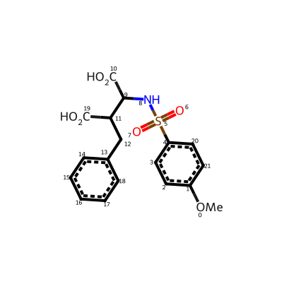 COc1ccc(S(=O)(=O)NC(C(=O)O)C(Cc2ccccc2)C(=O)O)cc1